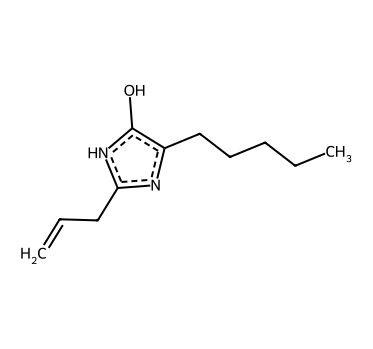 C=CCc1nc(CCCCC)c(O)[nH]1